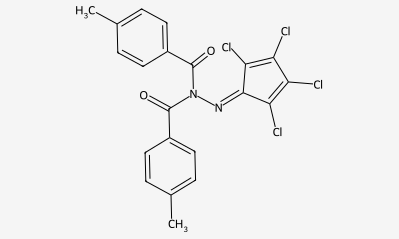 Cc1ccc(C(=O)N(N=C2C(Cl)=C(Cl)C(Cl)=C2Cl)C(=O)c2ccc(C)cc2)cc1